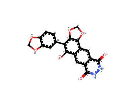 O=c1[nH][nH]c(=O)c2cc3c4c(c(-c5ccc6c(c5)OCO6)c(Br)c3cc12)OCO4